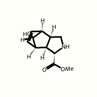 COC(=O)[C@H]1NC[C@@H]2[C@@H]3C=C[C@@H]([C@@H]3O)[C@@H]21